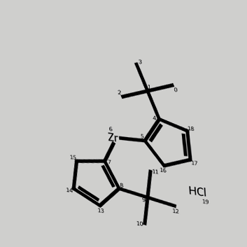 CC(C)(C)C1=[C]([Zr][C]2=C(C(C)(C)C)C=CC2)CC=C1.Cl